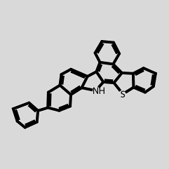 c1ccc(-c2ccc3c(ccc4c3[nH]c3c5sc6ccccc6c5c5ccccc5c43)c2)cc1